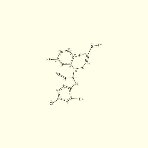 O=C1c2cc(Cl)cc(F)c2CN1C(CC#CSI)c1cc(F)ccc1F